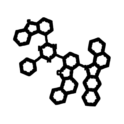 c1ccc(-c2nc(-c3ccc(-n4c5cc6ccccc6cc5c5ccc6ccccc6c54)c4c3oc3c5ccccc5ccc34)nc(-c3cccc4sc5ccccc5c34)n2)cc1